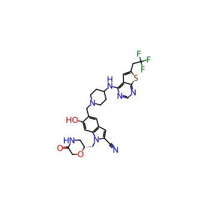 N#Cc1cc2cc(CN3CCC(Nc4ncnc5sc(CC(F)(F)F)cc45)CC3)c(O)cc2n1C[C@H]1CNC(=O)CO1